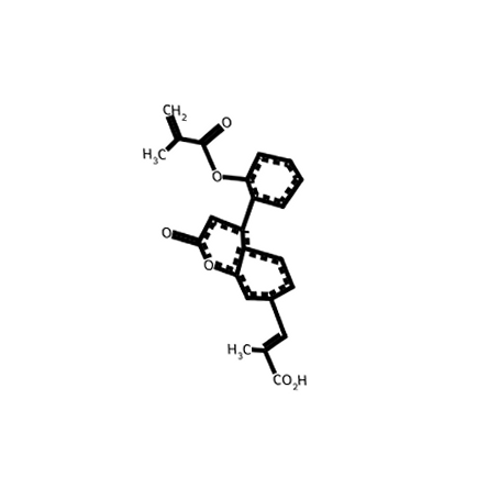 C=C(C)C(=O)Oc1ccccc1-c1cc(=O)oc2cc(C=C(C)C(=O)O)ccc12